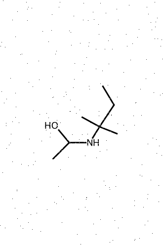 CCC(C)(C)NC(C)O